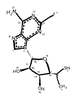 CC(S)[C@H]1O[C@@H](n2cnc3c(N)nc(F)nc32)[C@H](O)[C@@H]1O